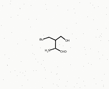 CCC(C)CC(CO)C(N)[C]=O